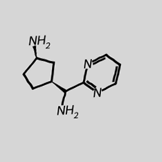 NC(c1ncccn1)[C@H]1CC[C@@H](N)C1